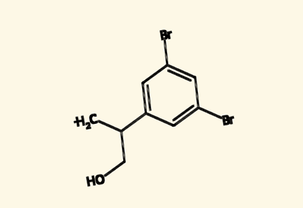 [CH2]C(CO)c1cc(Br)cc(Br)c1